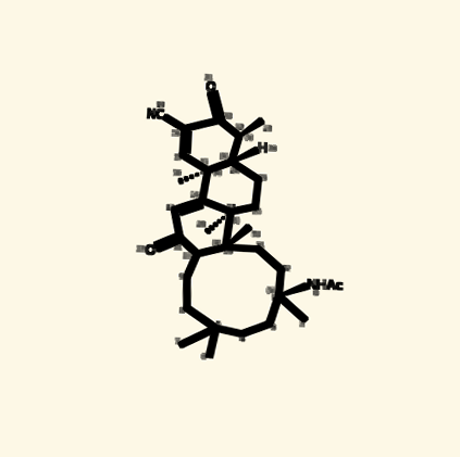 CC(=O)N[C@@]1(C)CCC(C)(C)CCC2C(=O)C=C3[C@@]4(C)C=C(C#N)C(=O)[C@@H](C)[C@@H]4CC[C@@]3(C)[C@]2(C)CC1